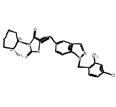 N[C@@H]1CCCC[C@H]1N1C(=O)S/C(=C\c2ccc3c(cnn3Cc3ccc(Cl)cc3C(F)(F)F)c2)C1=O